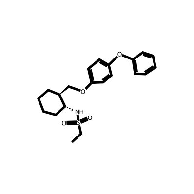 CCS(=O)(=O)N[C@@H]1CCCC[C@H]1COc1ccc(Oc2ccccc2)cc1